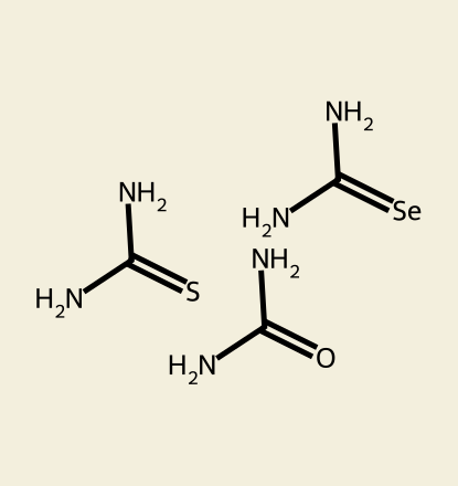 NC(N)=O.NC(N)=S.NC(N)=[Se]